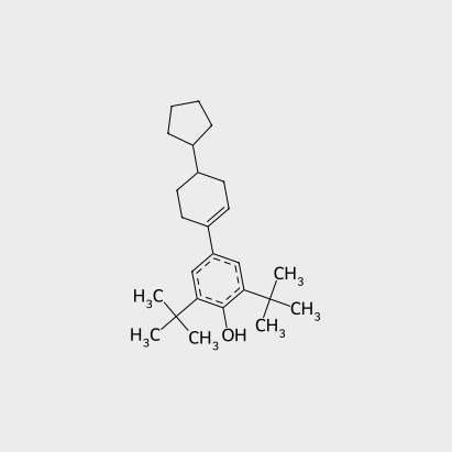 CC(C)(C)c1cc(C2=CCC(C3CCCC3)CC2)cc(C(C)(C)C)c1O